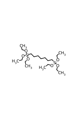 CCO[Si](CCCCCCC[Si](OCC)(OCC)OCC)(OCC)OCC